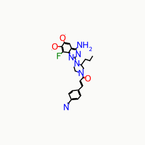 CCCC1CN(C(=O)C=Cc2ccc(C#N)cc2)CCN1c1nc(N)c2cc(OC)c(OC)c(F)c2n1